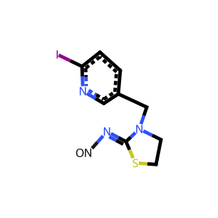 O=N/N=C1\SCCN1Cc1ccc(I)nc1